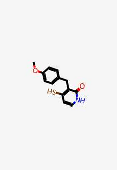 COc1ccc(Cc2c(S)cc[nH]c2=O)cc1